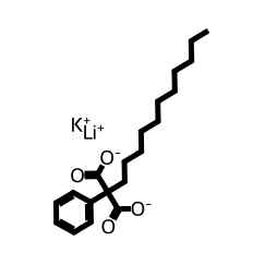 CCCCCCCCCCCC(C(=O)[O-])(C(=O)[O-])c1ccccc1.[K+].[Li+]